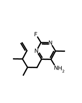 C=CC(C)C(C)Cc1nc(F)nc(C)c1N